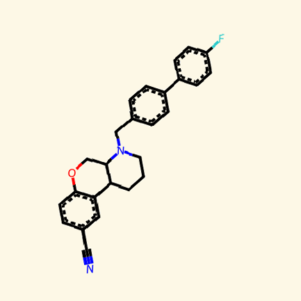 N#Cc1ccc2c(c1)C1CCCN(Cc3ccc(-c4ccc(F)cc4)cc3)C1CO2